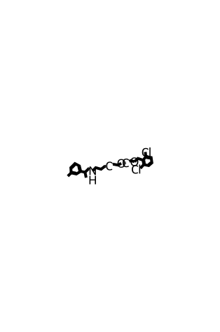 Cc1cccc(C(C)CNCCCCCCOCCOCc2c(Cl)cccc2Cl)c1